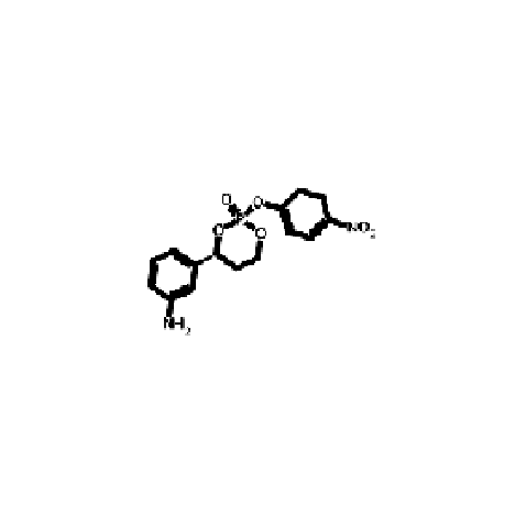 Nc1cccc([C@@H]2CCOP(=O)(OC3=CC=C([N+](=O)[O-])CC3)O2)c1